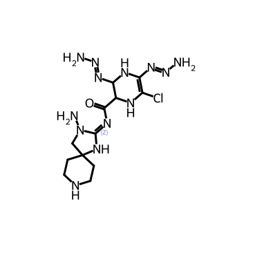 NN=NC1=C(Cl)NC(C(=O)/N=C2/NC3(CCNCC3)CN2N)C(N=NN)N1